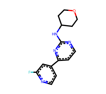 Fc1cc(-c2ccnc(NC3CCOCC3)n2)ccn1